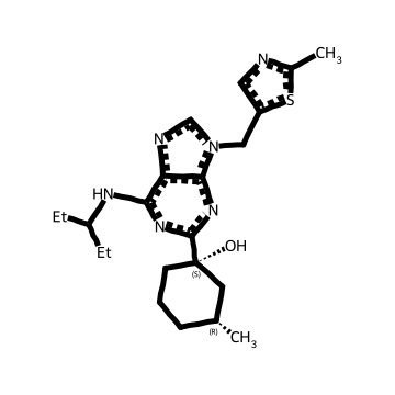 CCC(CC)Nc1nc([C@]2(O)CCC[C@@H](C)C2)nc2c1ncn2Cc1cnc(C)s1